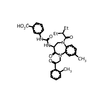 CCC(CC)C(=O)N1CC(NC(=O)Nc2cccc(C(=O)O)c2)C(=O)N(CC(=O)c2ccccc2C)c2cc(C)ccc21